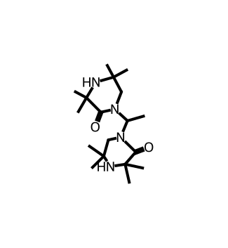 CC(N1CC(C)(C)NC(C)(C)C1=O)N1CC(C)(C)NC(C)(C)C1=O